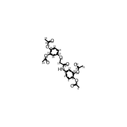 CC(=O)Oc1ccc(NC(=O)COc2ccc(OC(C)=O)c(OC(C)=O)c2)cc1OC(C)=O